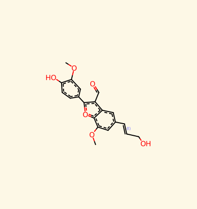 COc1cc(-c2oc3c(OC)cc(/C=C/CO)cc3c2C=O)ccc1O